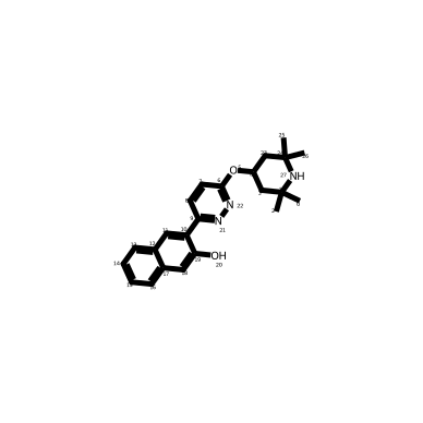 CC1(C)CC(Oc2ccc(-c3cc4ccccc4cc3O)nn2)CC(C)(C)N1